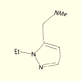 CCn1nccc1CNC